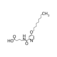 CCCCCCCCCOc1ccnc(C(=O)NCCCC(=O)O)c1